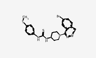 CSc1ccc(NC(=S)NC2CCN(c3nncc4ccc(Br)cc34)CC2)cc1